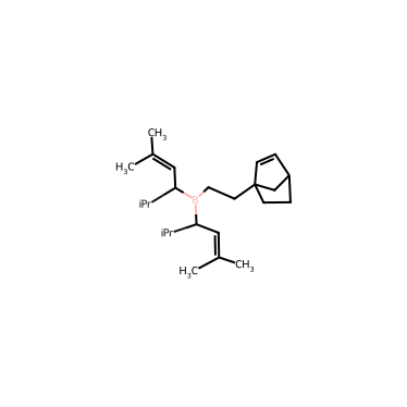 CC(C)=CC(B(CCC12C=CC(CC1)C2)C(C=C(C)C)C(C)C)C(C)C